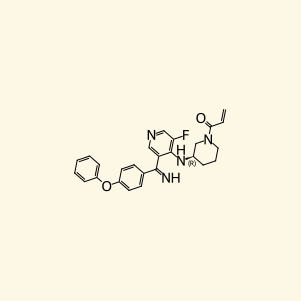 C=CC(=O)N1CCC[C@@H](Nc2c(F)cncc2C(=N)c2ccc(Oc3ccccc3)cc2)C1